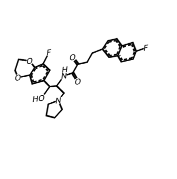 O=C(CCc1ccc2cc(F)ccc2c1)C(=O)NC(CN1CCCC1)C(O)c1cc(F)c2c(c1)OCCO2